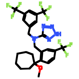 COC1(c2ccc(C(F)(F)F)cc2CN(Cc2cc(C(F)(F)F)cc(C(F)(F)F)c2)c2nn[nH]n2)CCCCCC1